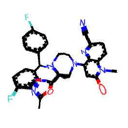 Cc1nnc(C2CN(c3cc(=O)n(C)c4ccc(C#N)nc34)CCN2C(c2ccc(F)cc2)c2ccc(F)cc2)o1